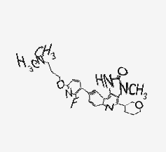 CN(C)CCCOc1ccc(-c2ccc3nc(C4CCCOC4)c4c([nH]c(=O)n4C)c3c2)c(F)n1